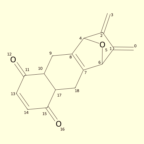 C=C1C(=C)C2OC1C1=C2CC2C(=O)C=CC(=O)C2C1